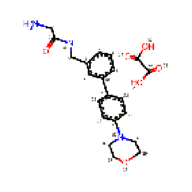 NCC(=O)NCc1cccc(-c2ccc(N3CCOCC3)cc2)c1.O=C(O)C(=O)O